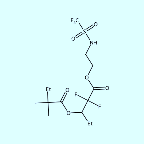 CCC(OC(=O)C(C)(C)CC)C(F)(F)C(=O)OCCNS(=O)(=O)C(F)(F)F